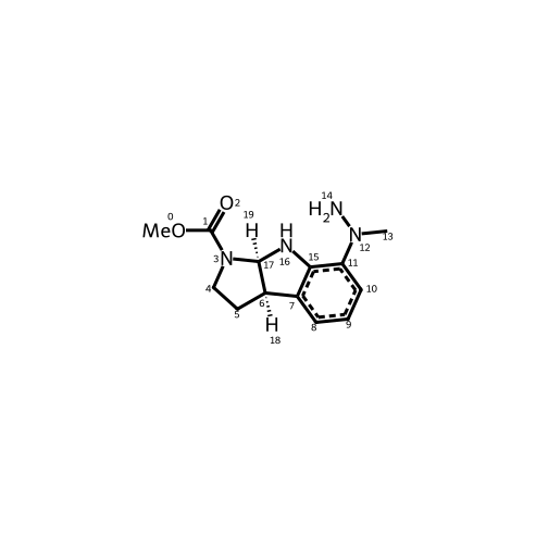 COC(=O)N1CC[C@@H]2c3cccc(N(C)N)c3N[C@@H]21